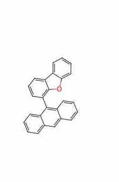 c1ccc2c(-c3cccc4c3oc3ccccc34)c3ccccc3cc2c1